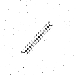 FCC(F)(F)C(F)(F)C(F)(F)C(F)(F)C(F)(F)C(F)(F)C(F)(F)C(F)(F)C(F)(F)C(F)(F)C(F)(F)C(F)(F)C(F)(F)[C](F)F